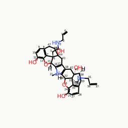 C=CCNCC[C@]12c3c4ccc(O)c3O[C@H]1c1c(c3c(n1C)[C@@H]1Oc5c(O)ccc6c5[C@@]15CCN(CC=C)[C@H](C6)[C@]5(O)C3)C[C@@]2(O)CC4